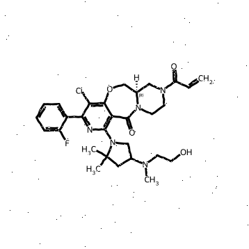 C=CC(=O)N1CCN2C(=O)c3c(N4CC(N(C)CCO)CC4(C)C)nc(-c4ccccc4F)c(Cl)c3OC[C@H]2C1